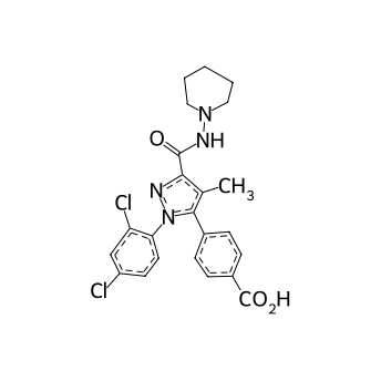 Cc1c(C(=O)NN2CCCCC2)nn(-c2ccc(Cl)cc2Cl)c1-c1ccc(C(=O)O)cc1